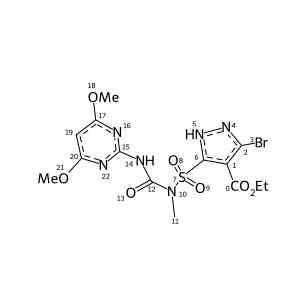 CCOC(=O)c1c(Br)n[nH]c1S(=O)(=O)N(C)C(=O)Nc1nc(OC)cc(OC)n1